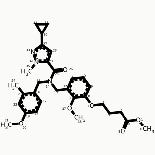 COC(=O)CCCOc1cccc(CN(Cc2ccc(OC)cc2C)C(=O)c2cc(C3CC3)nn2C)c1OC